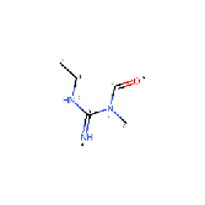 CCNC(=N)N(C)C=O